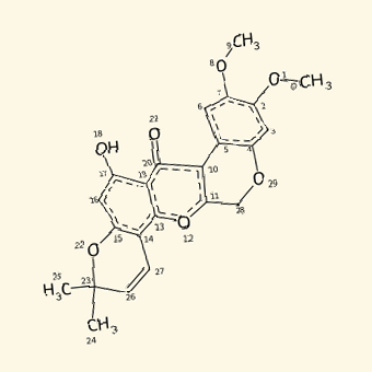 COc1cc2c(cc1OC)-c1c(oc3c4c(cc(O)c3c1=O)OC(C)(C)C=C4)CO2